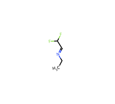 CC/N=C/C(F)F